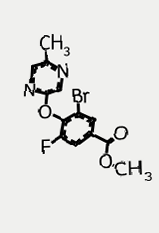 COC(=O)c1cc(F)c(Oc2cnc(C)cn2)c(Br)c1